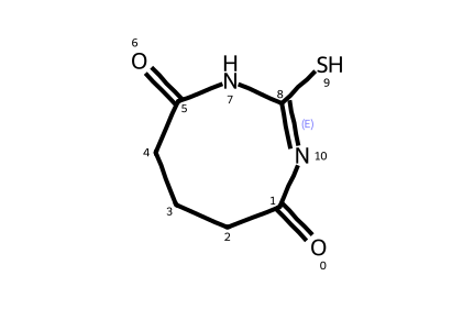 O=C1CCCC(=O)N/C(S)=N\1